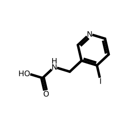 O=C(O)NCc1cnccc1I